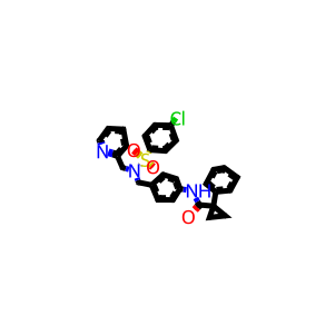 O=C(Nc1ccc(CN(Cc2ccccn2)S(=O)(=O)c2ccc(Cl)cc2)cc1)C1(c2ccccc2)CC1